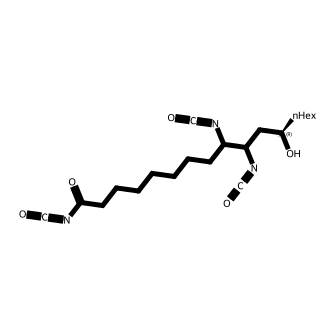 CCCCCC[C@@H](O)CC(N=C=O)C(CCCCCCCC(=O)N=C=O)N=C=O